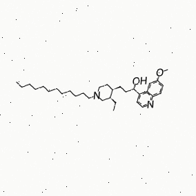 CCCCCCCCCCCCN1CC[C@@H](CC[C@@H](O)c2ccnc3ccc(OC)cc23)[C@@H](CC)C1